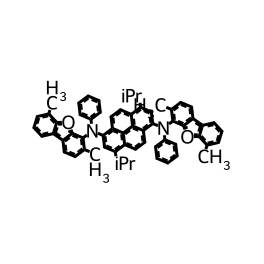 Cc1ccc2c(oc3c(C)cccc32)c1N(c1ccccc1)c1cc(C(C)C)c2ccc3c(N(c4ccccc4)c4c(C)ccc5c4oc4c(C)cccc45)cc(C(C)C)c4ccc1c2c43